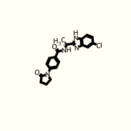 C[C@H](NC(=O)c1ccc(N2CCCC2=O)cc1)c1nc2cc(Cl)ccc2[nH]1